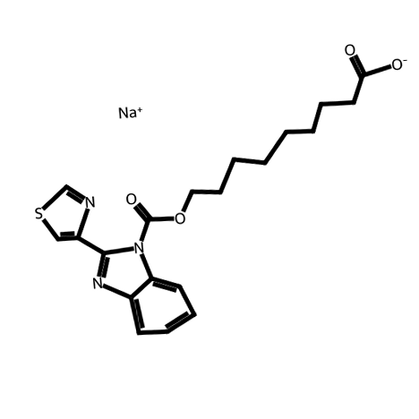 O=C([O-])CCCCCCCCOC(=O)n1c(-c2cscn2)nc2ccccc21.[Na+]